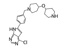 Clc1ncnc2[nH]c(-c3ccc(CN4CCC(OC5CCNCC5)CC4)cc3)cc12